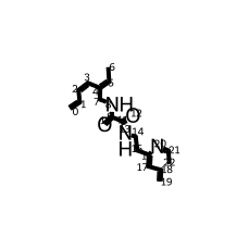 C=C/C=C\C(=C/C)CNC(=O)C(=O)NCCC(=C/C=C)/N=C\C